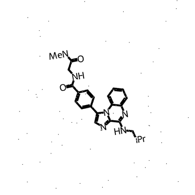 CNC(=O)CNC(=O)c1ccc(-c2cnc3c(NCC(C)C)nc4ccccc4n23)cc1